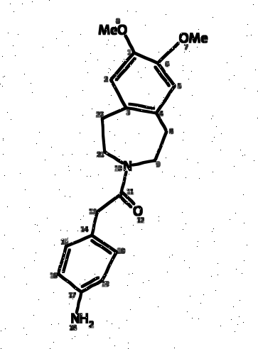 COc1cc2c(cc1OC)CCN(C(=O)Cc1ccc(N)cc1)CC2